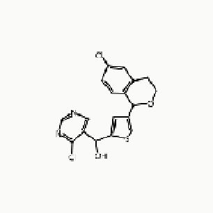 OC(c1cc(C2OCCc3cc(Cl)ccc32)cs1)c1cncnc1Cl